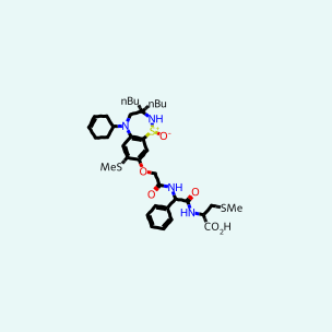 CCCCC1(CCCC)CN(C2CC=CCC2)c2cc(SC)c(OCC(=O)NC(C(=O)NC(CSC)C(=O)O)c3ccccc3)cc2[S+]([O-])N1